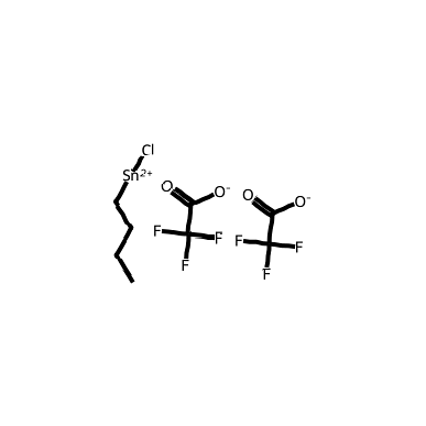 CCC[CH2][Sn+2][Cl].O=C([O-])C(F)(F)F.O=C([O-])C(F)(F)F